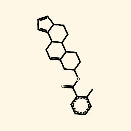 Cc1ccccc1C(=O)OC1CCC2C(=CCC3C4=CC=CC4CCC23)C1